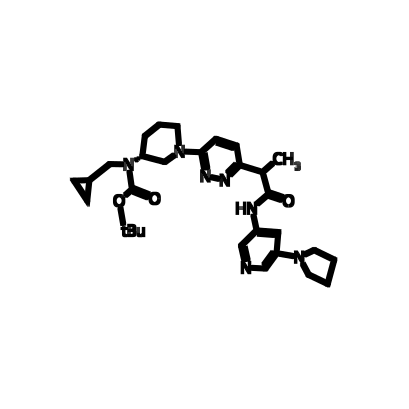 CC(C(=O)Nc1cncc(N2CCCC2)c1)c1ccc(N2CCC[C@@H](N(CC3CC3)C(=O)OC(C)(C)C)C2)nn1